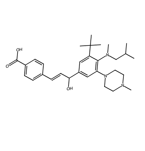 CC(C)CN(C)c1c(N2CCN(C)CC2)cc(C(O)/C=C/c2ccc(C(=O)O)cc2)cc1C(C)(C)C